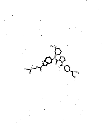 COC1CCC([C@@H]2CCN(C(=O)[C@H]3CC[C@H]([C@H](N)CF)CC3)[C@@H]2C(=O)Nc2ccc3oc(C(=O)OCOC(=O)C(C)(C)C)cc3c2)CC1